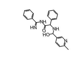 Cc1ccc(C(O)NC(C(=O)NC(=N)c2ccccc2)c2ccccc2)cn1